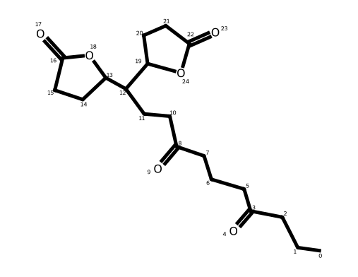 CCCC(=O)CCCC(=O)CCC(C1CCC(=O)O1)C1CCC(=O)O1